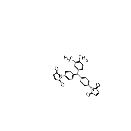 Cc1ccc(C(c2ccc(N3C(=O)C=CC3=O)cc2)c2ccc(N3C(=O)C=CC3=O)cc2)cc1C